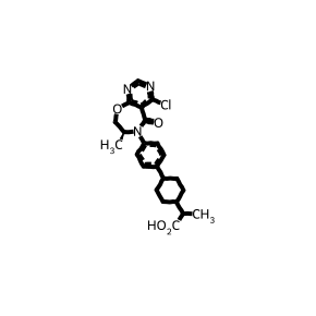 CC(C(=O)O)C1CCC(c2ccc(N3C(=O)c4c(Cl)ncnc4OC[C@@H]3C)cc2)CC1